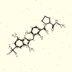 CNC(=O)C1CCCN1C(=O)c1ccc(Cl)c(Cc2nc3c(C)cc(C(F)(F)F)cc3n2C)c1Cl